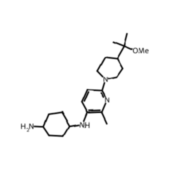 COC(C)(C)C1CCN(c2ccc(NC3CCC(N)CC3)c(C)n2)CC1